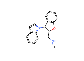 CNCC1Oc2ccccc2C1n1ccc2ccccc21